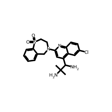 CC(C)(N)C(N)c1cc(N2CCS(=O)(=O)c3ccccc3C2)nc2ccc(Cl)cc12